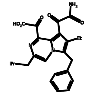 CCc1c(C(=O)C(N)=O)c2c(C(=O)C(=O)O)nc(CC(C)C)cn2c1Cc1ccccc1